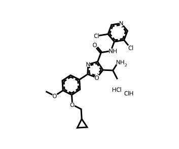 COc1ccc(-c2nc(C(=O)Nc3c(Cl)cncc3Cl)c(C(C)N)o2)cc1OCC1CC1.Cl.Cl